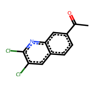 CC(=O)c1ccc2cc(Cl)c(Cl)nc2c1